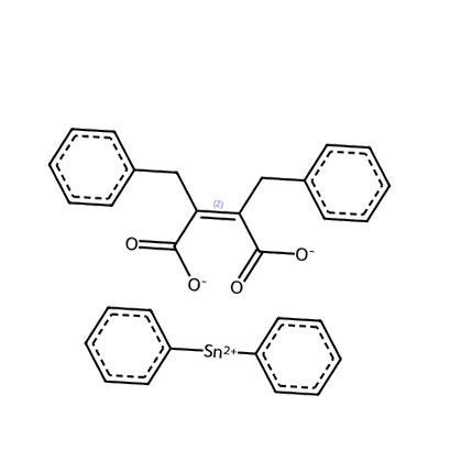 O=C([O-])/C(Cc1ccccc1)=C(/Cc1ccccc1)C(=O)[O-].c1cc[c]([Sn+2][c]2ccccc2)cc1